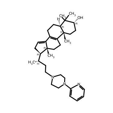 C[C@@H](CCN1CCN(c2ccccn2)CC1)[C@H]1CC=C2C3=C(CC[C@@]21C)[C@@]1(C)CC[C@@H](O)C(C)(C)[C@@H]1CC3